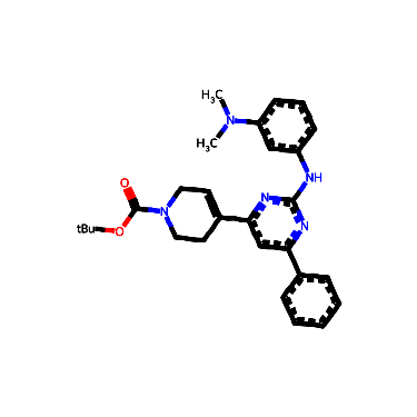 CN(C)c1cccc(Nc2nc(C3=CCN(C(=O)OC(C)(C)C)CC3)cc(-c3ccccc3)n2)c1